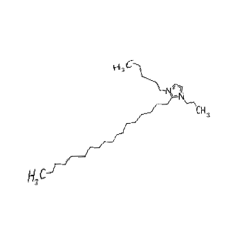 CCCCCCCCCCCCCCCCCCc1n(CCC)cc[n+]1CCCCC